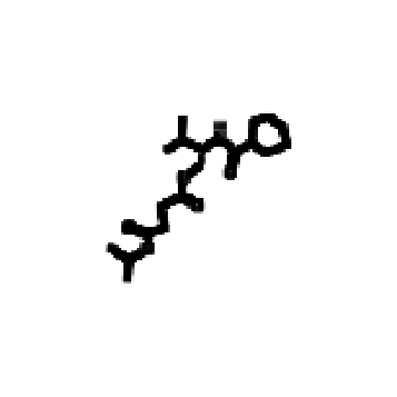 CC(C)OC(=O)CCC(=O)OC[C@@H](NC(=O)C1CCCCC1)C(C)C